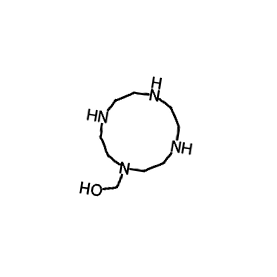 OCN1CCNCCNCCNCC1